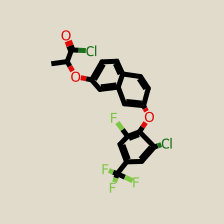 CC(Oc1ccc2ccc(Oc3c(F)cc(C(F)(F)F)cc3Cl)cc2c1)C(=O)Cl